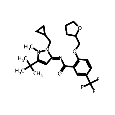 Cn1c(C(C)(C)C)cc(=NC(=O)c2cc(C(F)(F)F)ccc2OCC2CCCO2)n1CC1CC1